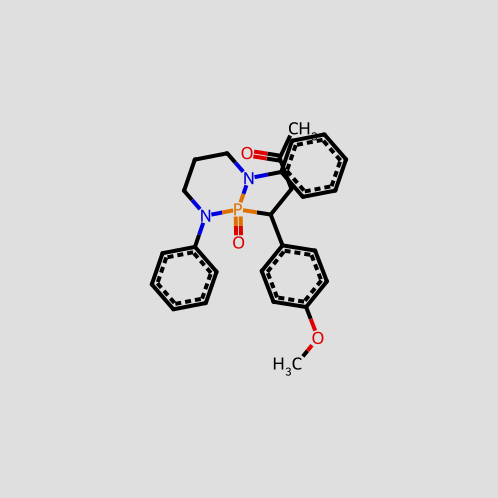 COc1ccc(C(CC(C)=O)P2(=O)N(c3ccccc3)CCCN2c2ccccc2)cc1